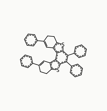 C1=C(c2ccccc2)CCc2sc3c(-c4ccccc4)c(-c4ccccc4)c4sc5c(c4c3c21)C=C(c1ccccc1)CC5